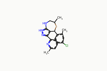 Cc1cccc(-c2n[nH]c3c2C(c2ccc(Cl)cc2C)SC(C)CN3)n1